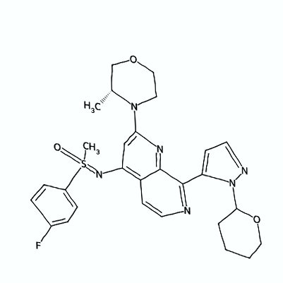 C[C@@H]1COCCN1c1cc(N=S(C)(=O)c2ccc(F)cc2)c2ccnc(-c3ccnn3C3CCCCO3)c2n1